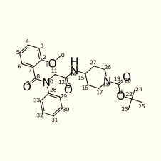 COc1ccccc1C(=O)N(CC(=O)NC1CCN(C(=O)OC(C)(C)C)CC1)c1ccccc1